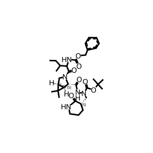 CCC(C)C(NC(=O)OCc1ccccc1)C(=O)N1C[C@H]2[C@@H]([C@H]1C(=O)NN(C[C@@H]1CCCNC1=O)C(=O)OC(C)(C)C)C2(C)C